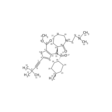 COC(=O)c1sc(C#CC(C)(C)C)cc1N(C(=O)[C@H]1CC[C@H](C)CC1)[C@H]1CCCCN(CCN(C)C)C1=O